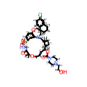 CC1(C)OC/C=C/[C@H](OC(=O)N2CCN(CCO)CC2)[C@@H]2CC[C@H]2CN2C[C@@]3(CCCc4cc(Cl)ccc43)COc3ccc(cc32)S(=O)(=O)NC1=O